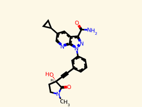 CN1CC[C@@](O)(C#Cc2cccc(-n3nc(C(N)=O)c4cc(C5CC5)cnc43)c2)C1=O